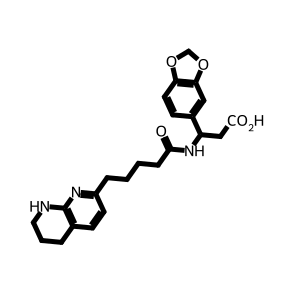 O=C(O)CC(NC(=O)CCCCc1ccc2c(n1)NCCC2)c1ccc2c(c1)OCO2